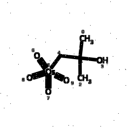 CC(C)(O)[CH2][Os](=[O])(=[O])(=[O])=[O]